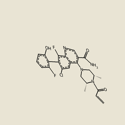 C=CC(=O)N1[C@H](C)CN(c2c(C(N)=O)cnc3c(F)c(-c4c(O)cccc4F)c(Cl)cc23)C[C@@H]1C